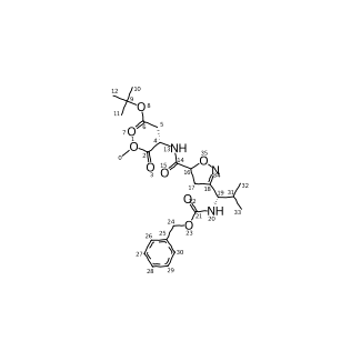 COC(=O)[C@H](CC(=O)OC(C)(C)C)NC(=O)C1CC([C@@H](NC(=O)OCc2ccccc2)C(C)C)=NO1